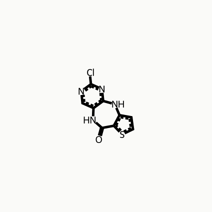 O=C1Nc2cnc(Cl)nc2Nc2ccsc21